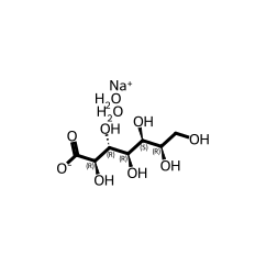 O.O.O=C([O-])[C@H](O)[C@H](O)[C@H](O)[C@@H](O)[C@H](O)CO.[Na+]